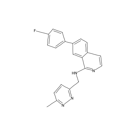 Cc1ccc(CNc2nccc3ccc(-c4ccc(F)cc4)cc23)nn1